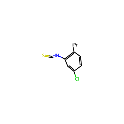 CC(C)c1ccc(Cl)cc1N[C]=S